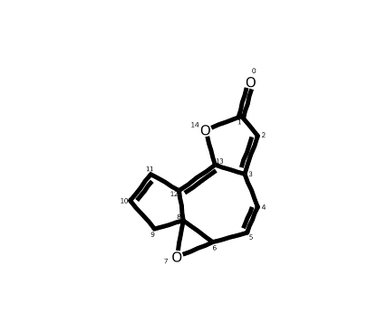 O=C1C=C2C=CC3OC34CC=CC4=C2O1